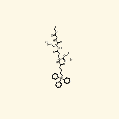 CCOC(=O)CNC(=O)[C@H](CSN=O)NC(=O)CC[C@H](NC(=O)CCCC[P+](c1ccccc1)(c1ccccc1)c1ccccc1)C(=O)OCC.[Br-]